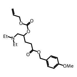 C=CCOC(=O)OC(CCC(=O)OCc1ccc(OC)cc1)CN(CC)CC